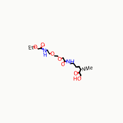 CCOCC(=O)NCCOCCOCC(=O)NCCCC[C@H](NC)C(=O)CO